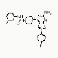 Cc1cccc(NC(=O)N2CCN(c3nc(N)nc4sc(-c5ccc(F)cc5)cc34)CC2)c1